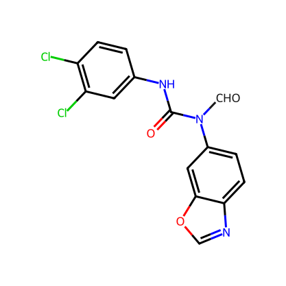 O=CN(C(=O)Nc1ccc(Cl)c(Cl)c1)c1ccc2ncoc2c1